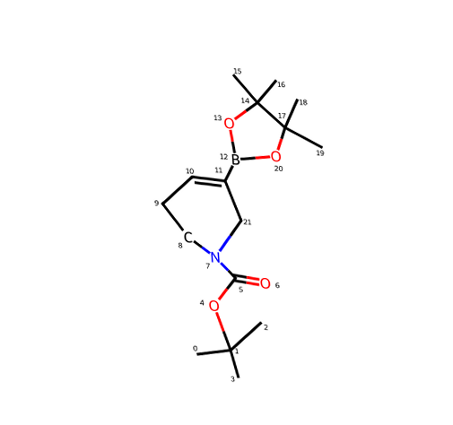 CC(C)(C)OC(=O)N1CCC=C(B2OC(C)(C)C(C)(C)O2)C1